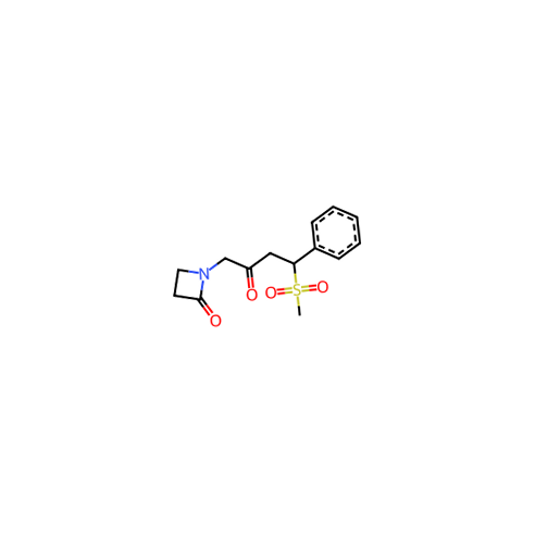 CS(=O)(=O)C(CC(=O)CN1CCC1=O)c1ccccc1